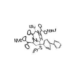 COC(=O)C1CC(SC(C)C)(c2ccc(-c3ccccc3)cc2)CN1C(=O)[C@@H](NC(=O)OC(C)(C)C)C(C)(C)C